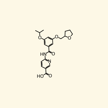 CC(C)Oc1cc(OCC2CCCO2)cc(C(=O)Nc2ccc(C(=O)O)cn2)c1